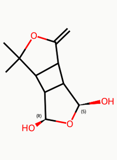 C=C1OC(C)(C)C2C1C1C2[C@H](O)O[C@@H]1O